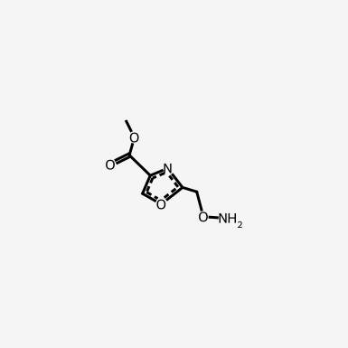 COC(=O)c1coc(CON)n1